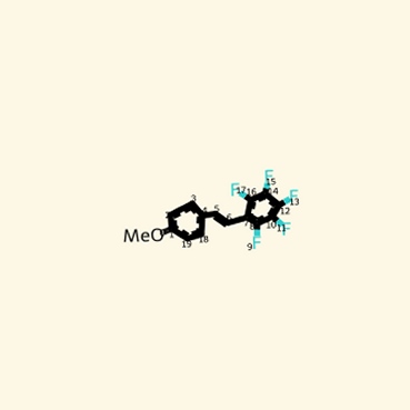 COc1ccc(C=Cc2c(F)c(F)c(F)c(F)c2F)cc1